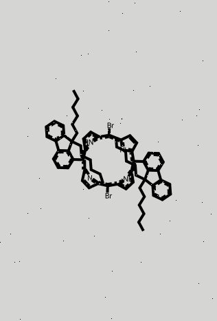 CCCCCCC1(CCCCCC)c2ccccc2-c2cccc(-c3c4nc(c(Br)c5ccc([nH]5)c(-c5cccc6c5C(CCCCCC)(CCCCCC)c5ccccc5-6)c5nc(c(Br)c6ccc3[nH]6)C=C5)C=C4)c21